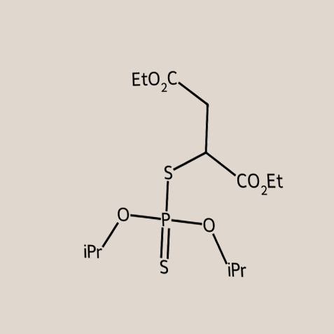 CCOC(=O)CC(SP(=S)(OC(C)C)OC(C)C)C(=O)OCC